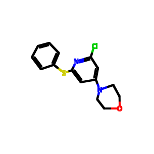 Clc1cc(N2CCOCC2)cc(Sc2ccccc2)n1